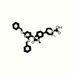 C[C@@H]1C=C(c2ccc3c(c2)n(C)c(=O)n3-c2ccc(OCc3ccccc3)nc2OCc2ccccc2)CCN1C(=O)O